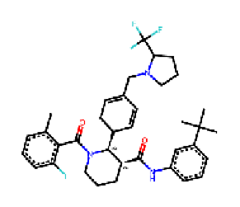 Cc1cccc(F)c1C(=O)N1CCC[C@H](C(=O)Nc2cccc(C(C)(C)C)c2)[C@@H]1C1C=CC(CN2CCCC2C(F)(F)F)=CC1